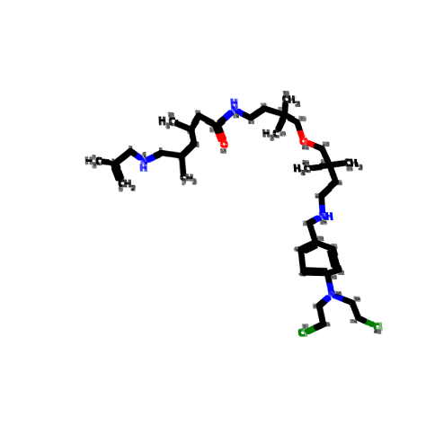 C=C(C)CNCC(C)CC(C)CC(=O)NCCC(C)(C)COCC(C)(C)CCNCc1ccc(N(CCCl)CCCl)cc1